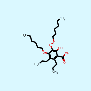 CCCCCCOOc1c(O)c(C(=O)O)c(CCC)c(CCC)c1OCCCCCC